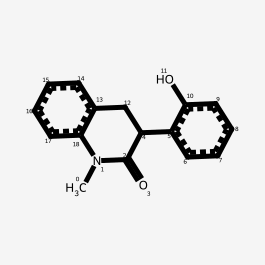 CN1C(=O)C(c2ccccc2O)Cc2ccccc21